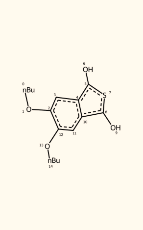 CCCCOc1cc2c(O)sc(O)c2cc1OCCCC